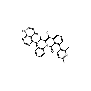 Cc1ccc(-c2cccc3c(Cl)c(C(C)Nc4ncnc5[nH]ccc(=O)c45)n(-c4ccccc4)c(=O)c23)c(C)n1